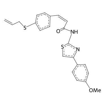 C=CCSc1ccc(/C=C\C(=O)Nc2nc(-c3ccc(OC)cc3)cs2)cc1